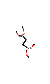 CO[SiH](CC[SiH](OC)OC)OC